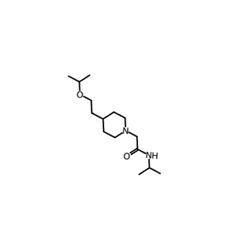 CC(C)NC(=O)CN1CCC(CCOC(C)C)CC1